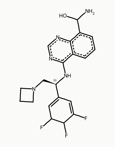 NC(O)c1cccc2c(N[C@H](CN3CCC3)C3=CC(F)C(F)C(F)=C3)ncnc12